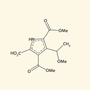 COC(=O)c1[nH]c(C(=O)O)c(C(=O)OC)c1C(C)OC